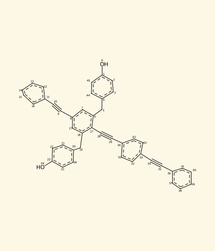 Oc1ccc(Cc2cc(C#Cc3ccccc3)cc(Cc3ccc(O)cc3)c2C#Cc2ccc(C#Cc3ccccc3)cc2)cc1